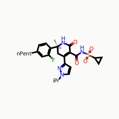 CCCCCc1ccc([C@]2(C)CC(c3ccn(C(C)C)n3)=C(C(=O)NS(=O)(=O)C3CC3)C(=O)N2)c(F)c1